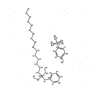 CCCCCCCCCCCCCCCC[N+](CC)(CC)Cc1ccccc1.Cc1ccc(S(=O)(=O)[O-])cc1